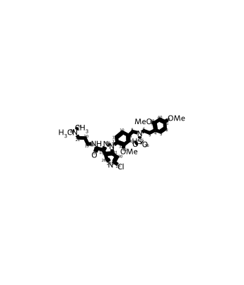 COc1ccc(CCN(Cc2ccc(-n3nc(C(=O)NCCCN(C)C)c4cnc(Cl)cc43)c(OC)c2)[SH](=O)=O)c(OC)c1